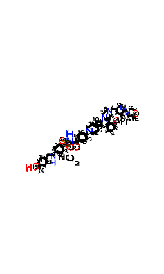 COc1cc(CN2CCN(C3CC4(CCN(c5ccc(C(=O)NS(=O)(=O)c6ccc(NCC7CCC(C)(O)CC7)c([N+](=O)[O-])c6)cc5)CC4)C3)[C@@H](c3ccccc3OC(C)C)C2)cnc1N1CCOCC1